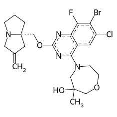 C=C1CN2CCC[C@@]2(COc2nc(N3CCOCC(C)(O)C3)c3cc(Cl)c(Br)c(F)c3n2)C1